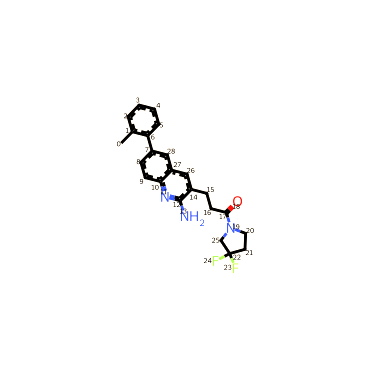 Cc1ccccc1-c1ccc2nc(N)c(CCC(=O)N3CCC(F)(F)C3)cc2c1